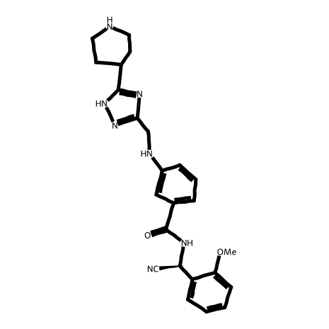 COc1ccccc1[C@@H](C#N)NC(=O)c1cccc(NCc2n[nH]c(C3CCNCC3)n2)c1